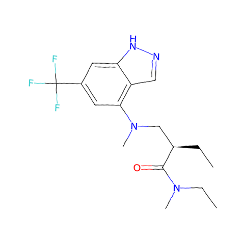 CC[C@H](CN(C)c1cc(C(F)(F)F)cc2[nH]ncc12)C(=O)N(C)CC